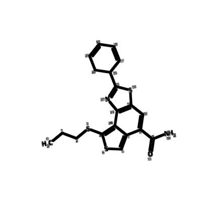 CCCSc1scc2c(C(N)=O)cc3sc(C4C=CC=CC4)nc3c12